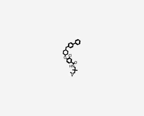 CN(C)CC(C)(C)CNC(=O)c1ccc(OC2CCC(Cc3ccc(-c4ccccc4)cc3)CC2)c(Cl)c1